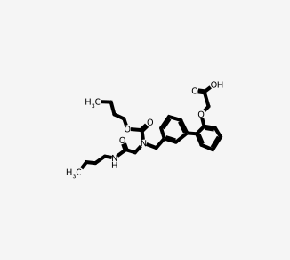 CCCCNC(=O)CN(Cc1cccc(-c2ccccc2OCC(=O)O)c1)C(=O)OCCCC